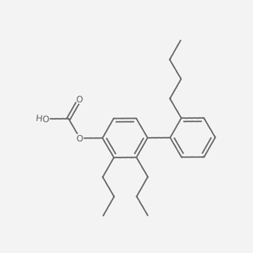 CCCCc1ccccc1-c1ccc(OC(=O)O)c(CCC)c1CCC